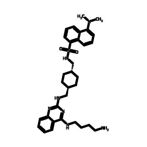 CN(C)c1cccc2c(S(=O)(=O)NC[C@H]3CC[C@H](CNc4nc(NCCCCN)c5ccccc5n4)CC3)cccc12